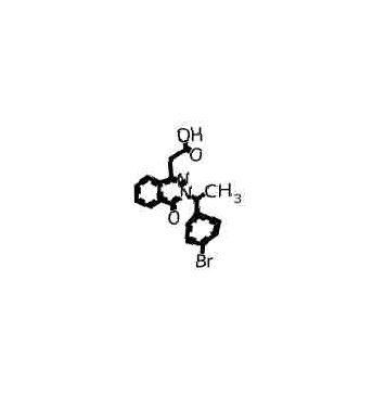 CC(c1ccc(Br)cc1)n1nc(CC(=O)O)c2ccccc2c1=O